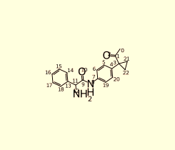 CC(=O)C1(c2ccc(NC(=O)C(N)c3ccccc3)cc2)CC1